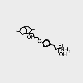 CCC(N)(CO)CCc1ccc(OCCCC2(O)C(C)CC3CC(C)CC2C3)cc1